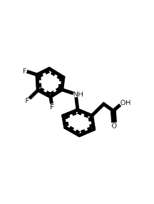 O=C(O)Cc1ccccc1Nc1ccc(F)c(F)c1F